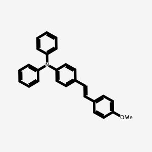 COc1ccc(C=Cc2ccc(N(c3ccccc3)c3ccccc3)cc2)cc1